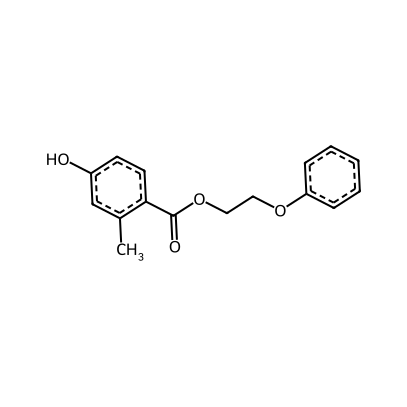 Cc1cc(O)ccc1C(=O)OCCOc1ccccc1